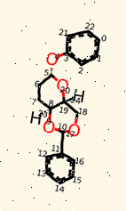 c1ccc(O[C@H]2CC[C@@H]3OC(c4ccccc4)OC[C@H]3O2)cc1